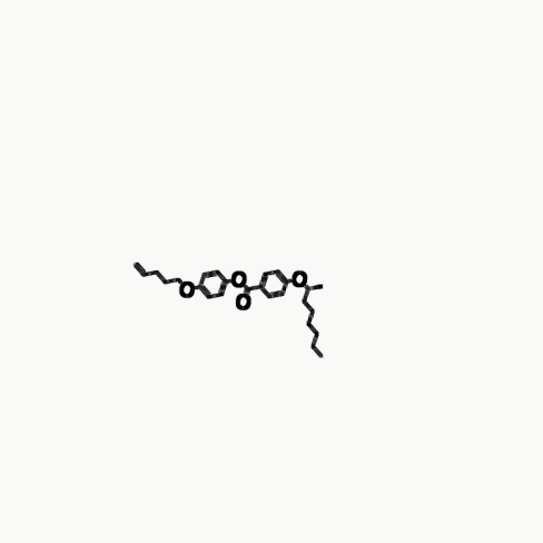 C=CCCCOc1ccc(OC(=O)c2ccc(O[C@@H](C)CCCCCC)cc2)cc1